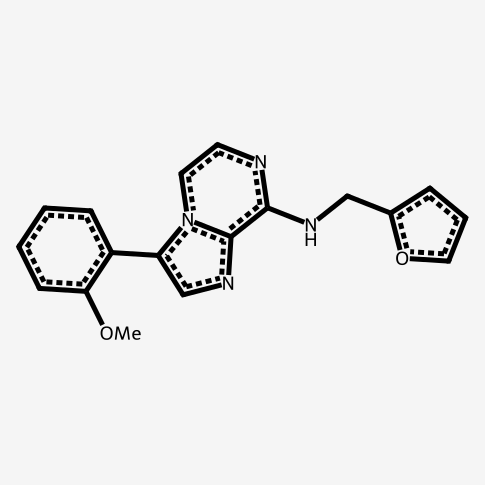 COc1ccccc1-c1cnc2c(NCc3ccco3)nccn12